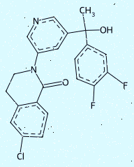 CC(O)(c1cncc(N2CCc3cc(Cl)ccc3C2=O)c1)c1ccc(F)c(F)c1